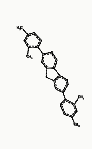 Cc1ccc(-c2ccc3c(c2)Cc2cc(-c4ccc(C)cc4C)ncc2-3)c(C)c1